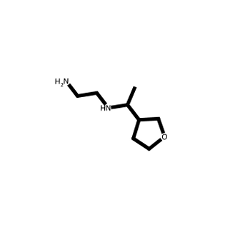 CC(NCCN)C1CCOC1